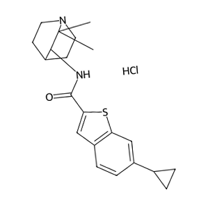 CC1(C)C(NC(=O)c2cc3ccc(C4CC4)cc3s2)C2CCN1CC2.Cl